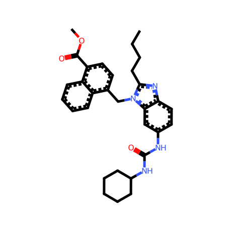 CCCCc1nc2ccc(NC(=O)NC3CCCCC3)cc2n1Cc1ccc(C(=O)OC)c2ccccc12